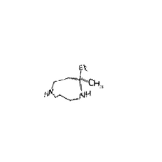 CCC1(C)CCNCCN1